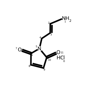 Cl.NC=CCN1C(=O)C=CC1=O